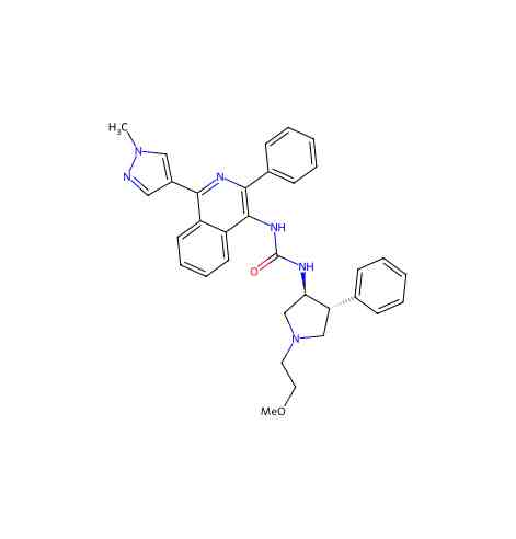 COCCN1C[C@@H](NC(=O)Nc2c(-c3ccccc3)nc(-c3cnn(C)c3)c3ccccc23)[C@H](c2ccccc2)C1